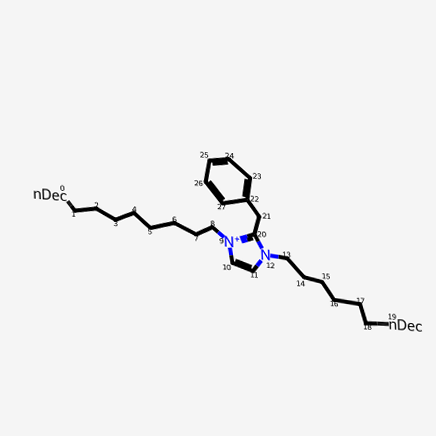 CCCCCCCCCCCCCCCCCC[n+]1ccn(CCCCCCCCCCCCCCCC)c1Cc1ccccc1